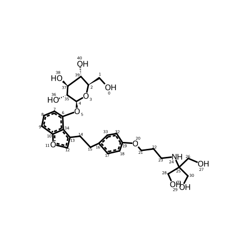 OC[C@H]1O[C@@H](Oc2cccc3occ(CCc4ccc(OCCCNC(CO)(CO)CO)cc4)c23)[C@H](O)[C@@H](O)[C@@H]1O